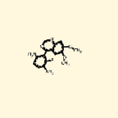 COc1cc2ncnc(-c3c(N)ccc(N)c3F)c2cc1OC